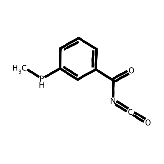 CPc1cccc(C(=O)N=C=O)c1